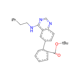 CC(C)CCNc1ncnc2ccc(-c3ccccc3C(=O)OC(C)(C)C)cc12